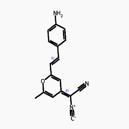 [C-]#[N+]/C(C#N)=C1\C=C(C)OC(/C=C/c2ccc(N)cc2)=C1